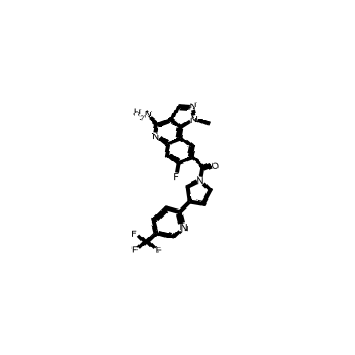 Cn1ncc2c(N)nc3cc(F)c(C(=O)N4CCC(c5ccc(C(F)(F)F)cn5)C4)cc3c21